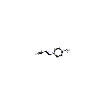 N#C/C=C/c1ccc(S)cc1